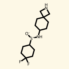 [O-][S+](NC1CCC2(CC1)CNC2)C1CCC(F)(F)CC1